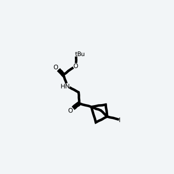 CC(C)(C)OC(=O)NCC(=O)C12CC(I)(C1)C2